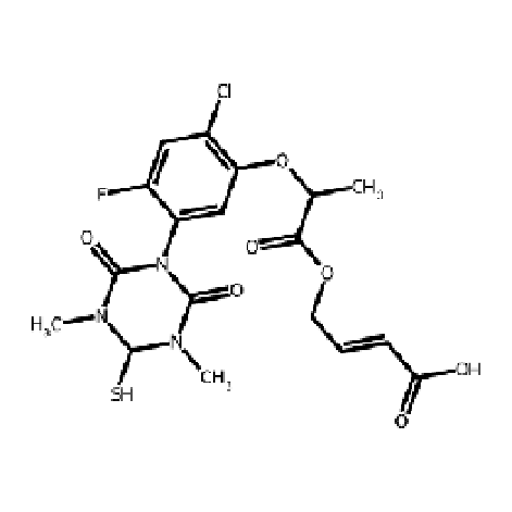 CC(Oc1cc(N2C(=O)N(C)C(S)N(C)C2=O)c(F)cc1Cl)C(=O)OC/C=C/C(=O)O